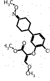 CO/C=C(\Oc1cc(C2CCC(=NOC)CC2)ccc1C)C(=O)OC